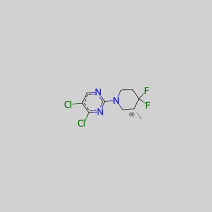 C[C@@H]1CN(c2ncc(Cl)c(Cl)n2)CCC1(F)F